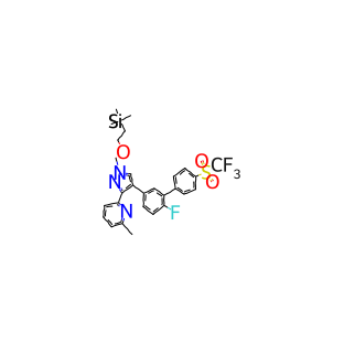 Cc1cccc(-c2nn(COCC[Si](C)(C)C)cc2-c2ccc(F)c(-c3ccc(S(=O)(=O)C(F)(F)F)cc3)c2)n1